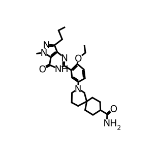 CCCc1nn(C)c2c(=O)[nH]c(-c3cc(N4CCCC5(CCC(C(N)=O)CC5)C4)ccc3OCC)nc12